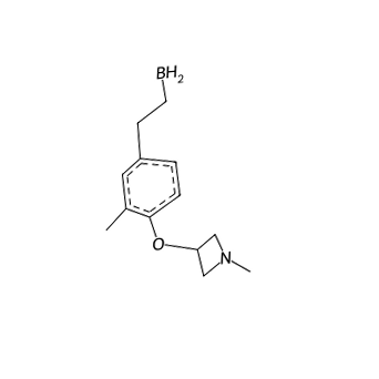 BCCc1ccc(OC2CN(C)C2)c(C)c1